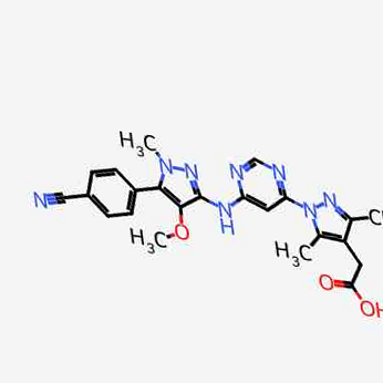 COc1c(Nc2cc(-n3nc(C)c(CC(=O)O)c3C)ncn2)nn(C)c1-c1ccc(C#N)cc1